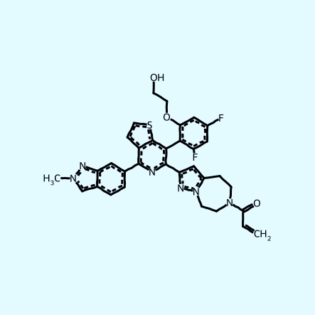 C=CC(=O)N1CCc2cc(-c3nc(-c4ccc5cn(C)nc5c4)c4ccsc4c3-c3c(F)cc(F)cc3OCCO)nn2CC1